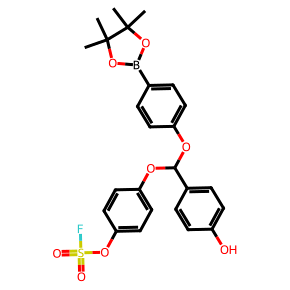 CC1(C)OB(c2ccc(OC(Oc3ccc(OS(=O)(=O)F)cc3)c3ccc(O)cc3)cc2)OC1(C)C